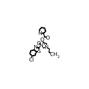 C=CCN1CC(OC(=O)c2ccccn2)[N+]([O-])(c2nc3ccc(Cl)cc3s2)C1